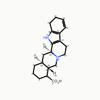 O=C(O)C1CCC[C@H]2C[C@H]3c4[nH]c5c(c4CCN3C[C@H]12)C=CCC5